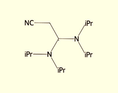 CC(C)N([C](CC#N)N(C(C)C)C(C)C)C(C)C